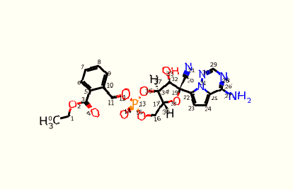 CCOC(=O)c1ccccc1COP1(=O)OC[C@H]2O[C@@](C#N)(c3ccc4c(N)ncnn34)[C@H](O)[C@@H]2O1